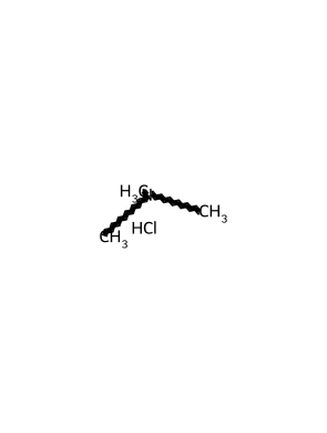 CCCCCCCCCCCCCN(C)CCCCCCCCCCCCC.Cl